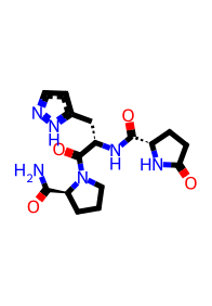 NC(=O)[C@@H]1CCCN1C(=O)[C@H](Cc1ccn[nH]1)NC(=O)[C@@H]1CCC(=O)N1